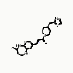 O=C1CCNc2cc(/C=C/C(=O)N3CC=C(Cc4nccs4)CC3)cnc2N1